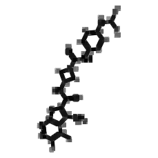 Cc1nnc2sc(C(=O)NC3CN(C(=O)Nc4ccc(OC(F)F)cc4)C3)c(N)c2c1C